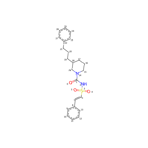 O=C(NS(=O)(=O)/C=C/c1ccccc1)N1CCCC(CCCc2ccccc2)C1